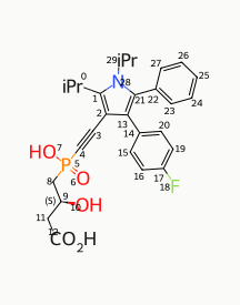 CC(C)c1c(C#CP(=O)(O)C[C@@H](O)CC(=O)O)c(-c2ccc(F)cc2)c(-c2ccccc2)n1C(C)C